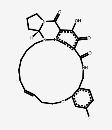 O=C1NCc2ccc(F)cc2OCC/C=C/CCCCCN2[C@@H]3CCCN3C(=O)c3c(O)c(=O)c1cn32